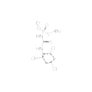 CCOP(=O)(NC(=S)Nc1c(Cl)cc(Cl)cc1Cl)SC(C)CC